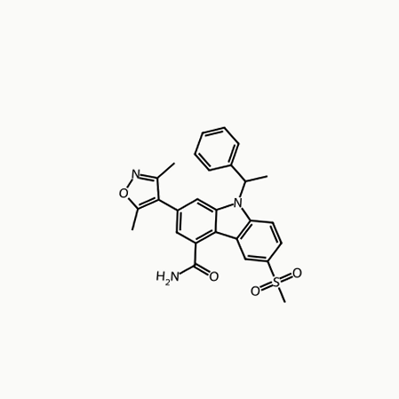 Cc1noc(C)c1-c1cc(C(N)=O)c2c3cc(S(C)(=O)=O)ccc3n(C(C)c3ccccc3)c2c1